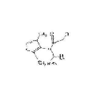 CCC(OC)N(C(=O)CCl)c1c(C)csc1C